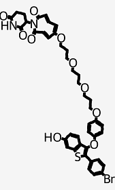 O=C1CCC(N2C(=O)/C=C/C=C(OCCCOCCCOCCCOc3ccc(Oc4c(-c5ccc(Br)cc5)sc5cc(O)ccc45)cc3)\C=C\C2=O)C(=O)N1